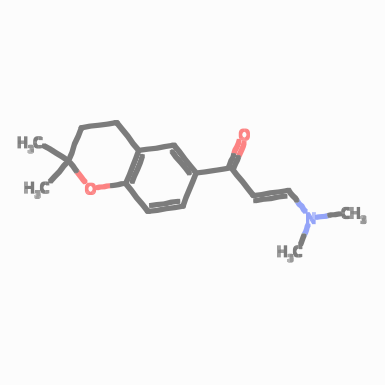 CN(C)C=CC(=O)c1ccc2c(c1)CCC(C)(C)O2